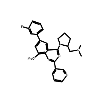 COc1cc(-c2cccc(F)c2)cc2c(N3CCCC3CN(C)C)nc(-c3cccnc3)nc12